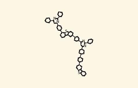 c1ccc(-c2cc(-c3ccc(-c4cccc5c4sc4ccc(-c6ccc(-c7cc(-c8ccc(-c9ccc(-c%10ccc%11sc%12ccccc%12c%11c%10)cc9)cc8)nc(-c8ccccc8)n7)cc6)cc45)cc3)nc(-c3ccccc3)n2)cc1